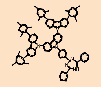 Cc1cc(C)c(-c2ccc3c(c2)c2cc(-c4c(C)cc(C)cc4C)ccc2n3-c2ccc3c(c2)c2cc(-n4c5ccc(-c6c(C)cc(C)cc6C)cc5c5cc(-c6c(C)cc(C)cc6C)ccc54)ccc2n3-c2ccc(C3=NC(c4ccccc4)=CNC(c4ccccc4)=N3)cc2)c(C)c1